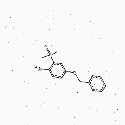 CP(C)(=O)c1cc(OCc2ccccc2)ccc1N